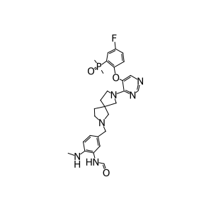 CNc1ccc(CN2CCC3(CCN(c4ncncc4Oc4ccc(F)cc4P(C)(C)=O)C3)C2)cc1NC=O